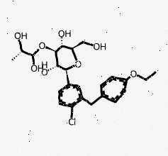 CCOc1ccc(Cc2cc([C@@H]3O[C@H](CO)[C@@H](O)[C@H](OC(O)[C@H](C)O)[C@H]3O)ccc2Cl)cc1